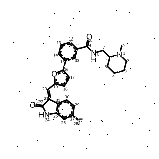 CN1CCCCC1CNC(=O)c1cccc(-c2ccc(/C=C3/C(=O)Nc4cc(F)ccc43)o2)c1